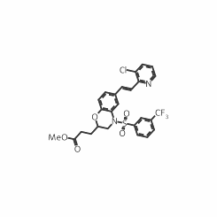 COC(=O)CCC1CN(S(=O)(=O)c2cccc(C(F)(F)F)c2)c2cc(C=Cc3ncccc3Cl)ccc2O1